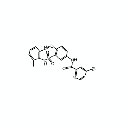 CCc1ccnc(C(=O)Nc2ccc(OC)c(S(=O)(=O)Nc3c(C)cccc3C)c2)c1